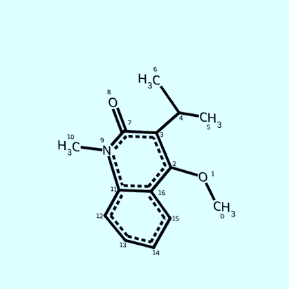 COc1c(C(C)C)c(=O)n(C)c2ccccc12